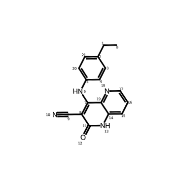 CCc1ccc(Nc2c(C#N)c(=O)[nH]c3cccnc23)cc1